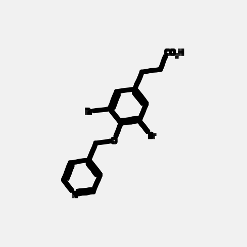 O=C(O)CCc1cc(Br)c(OCc2ccncc2)c(Br)c1